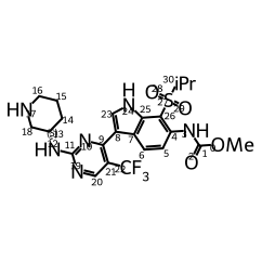 COC(=O)Nc1ccc2c(-c3nc(N[C@H]4CCCNC4)ncc3C(F)(F)F)c[nH]c2c1S(=O)(=O)C(C)C